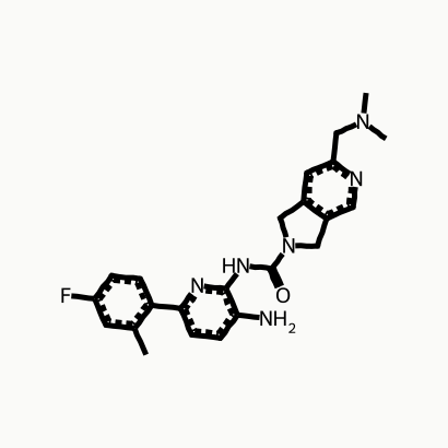 Cc1cc(F)ccc1-c1ccc(N)c(NC(=O)N2Cc3cnc(CN(C)C)cc3C2)n1